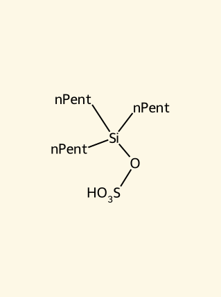 CCCCC[Si](CCCCC)(CCCCC)OS(=O)(=O)O